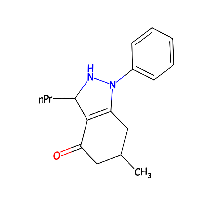 CCCC1NN(c2ccccc2)C2=C1C(=O)CC(C)C2